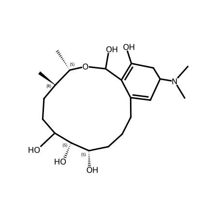 C[C@@H]1CCC(O)[C@@H](O)[C@@H](O)CCCC2=CC(N(C)C)CC(O)=C2C(O)O[C@H]1C